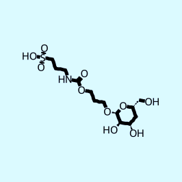 O=C(NCCCS(=O)(=O)O)OCCCO[C@@H]1O[C@H](CO)C[C@H](O)[C@H]1O